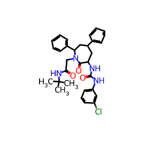 CC(C)(C)NC(=O)CN1C(=O)C(NC(=O)Nc2cccc(Cl)c2)CC(c2ccccc2)CC1c1ccccc1